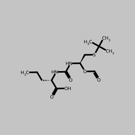 CCC[C@H](NC(=O)N[C@@H](CSC(C)(C)C)OC=O)C(=O)O